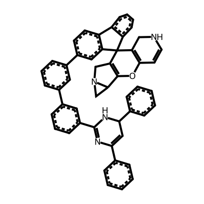 C1=CC2=C(CN1)C1(C3=C(O2)C2CN2C3)c2ccccc2-c2ccc(-c3cccc(-c4cccc(C5=NC(c6ccccc6)=CC(c6ccccc6)N5)c4)c3)cc21